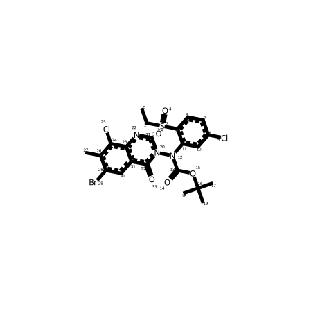 CCS(=O)(=O)c1ccc(Cl)cc1N(C(=O)OC(C)(C)C)n1cnc2c(Cl)c(C)c(Br)cc2c1=O